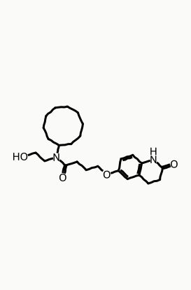 O=C1CCc2cc(OCCCC(=O)N(CCO)C3CCCCCCCCC3)ccc2N1